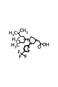 CC(C)CC[C@H](CC(C)C)N1CC[C@@H](CC(=O)O)C[C@H]1c1ccc(C(F)(F)F)cc1